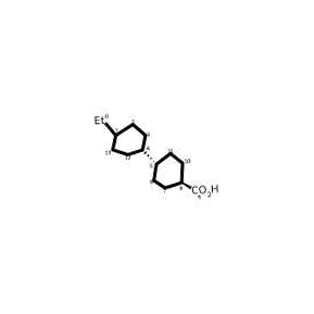 CCC1CCC([C@H]2CC[C@H](C(=O)O)CC2)CC1